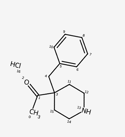 CC(=O)C1(Cc2ccccc2)CCNCC1.Cl